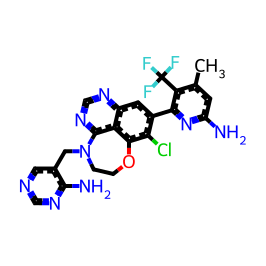 Cc1cc(N)nc(-c2cc3ncnc4c3c(c2Cl)OCCN4Cc2cncnc2N)c1C(F)(F)F